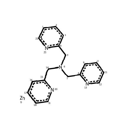 [Zn].c1ccc(CN(Cc2ccccn2)Cc2ccccn2)nc1